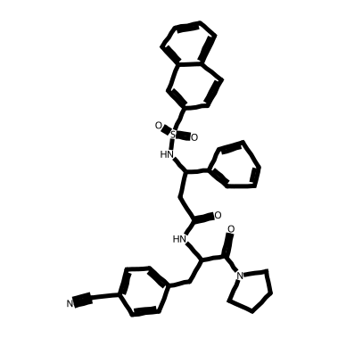 N#Cc1ccc(CC(NC(=O)CC(NS(=O)(=O)c2ccc3ccccc3c2)c2ccccc2)C(=O)N2CCCC2)cc1